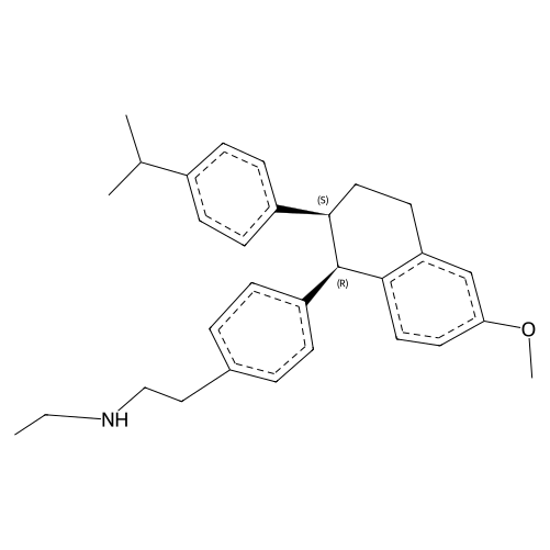 CCNCCc1ccc([C@@H]2c3ccc(OC)cc3CC[C@@H]2c2ccc(C(C)C)cc2)cc1